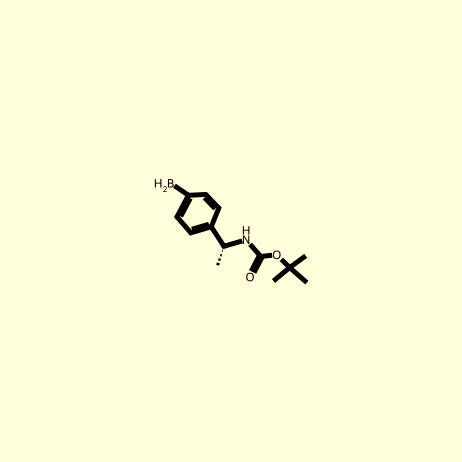 Bc1ccc([C@@H](C)NC(=O)OC(C)(C)C)cc1